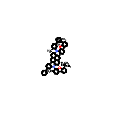 Cc1ccc(-c2ccccc2)cc1N(c1ccc2ccc3c(N(c4cc(-c5ccccc5)ccc4C)c4c(C)ccc5c4oc4c(C(C)(C)C)cccc45)ccc4ccc1c2c43)c1c(C)ccc2c1oc1c(C(C)(C)C)cccc12